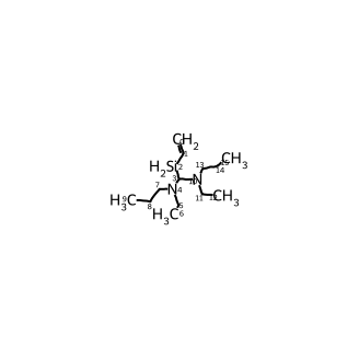 C=C[SiH2]C(N(CC)CCC)N(CC)CCC